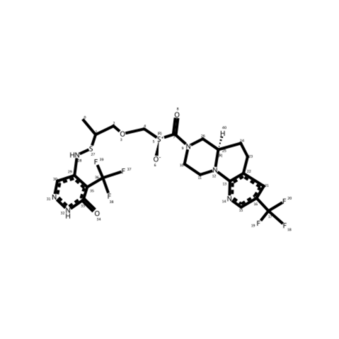 CC(COC[S@+]([O-])C(=O)N1CCN2c3ncc(C(F)(F)F)cc3CC[C@@H]2C1)SNc1cn[nH]c(=O)c1C(F)(F)F